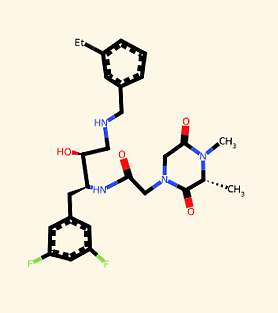 CCc1cccc(CNC[C@H](O)[C@H](Cc2cc(F)cc(F)c2)NC(=O)CN2CC(=O)N(C)[C@H](C)C2=O)c1